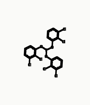 Clc1cccc(OP(Oc2cccc(Cl)c2Cl)Oc2cccc(Cl)c2Cl)c1Cl